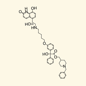 O=C(OCC1CCN(Cc2ccccc2)CC1)C(O)(c1ccccc1)c1cccc(OCCCCCNC[C@H](O)c2ccc(O)c3[nH]c(=O)ccc23)c1